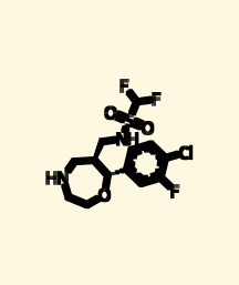 O=S(=O)(NC[C@@H]1CNCCO[C@H]1c1ccc(Cl)c(F)c1)C(F)F